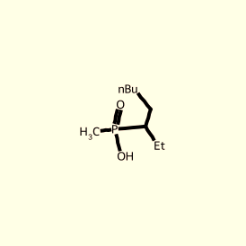 CCCCCC(CC)P(C)(=O)O